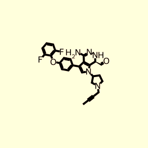 CC#CCN1CCC(n2cc(-c3ccc(Oc4c(F)cccc4F)cc3)c3c2[C@H](C=O)NN=C3N)C1